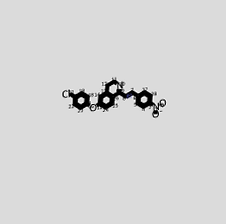 O=[N+]([O-])c1ccc(/C=C/C2=NCCc3cc(Oc4ccc(Cl)cc4)ccc32)cc1